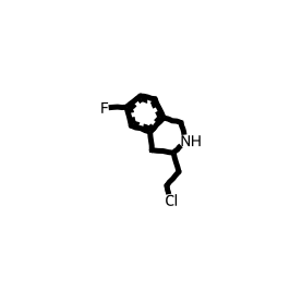 Fc1ccc2c(c1)CC(CCCl)NC2